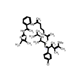 C=C(C[C@H](/N=C(\C(=C)/C(C)=C(/C)SC)c1ccc(Cl)cc1)C(N)NC(C)N)NCCCC(=C)Nc1ccccc1C(=C)Nc1nc(C)c(C)s1